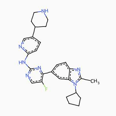 Cc1nc2ccc(-c3nc(Nc4ccc(C5CCNCC5)cn4)ncc3F)cc2n1C1CCCC1